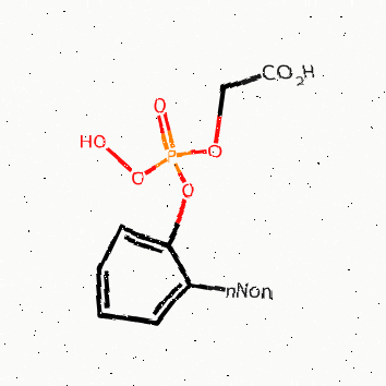 CCCCCCCCCc1ccccc1OP(=O)(OO)OCC(=O)O